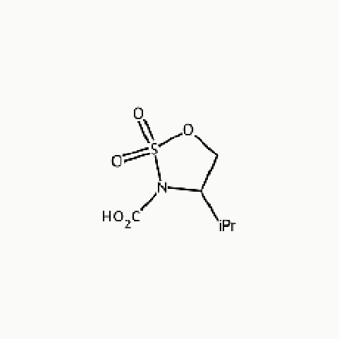 CC(C)C1COS(=O)(=O)N1C(=O)O